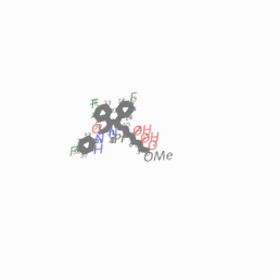 COC(=O)C[C@H](O)C[C@H](O)/C=C/c1c(-c2ccc(F)cc2)c(-c2ccc(F)cc2)c(C(=O)Nc2ccc(F)cc2)n1C(C)C